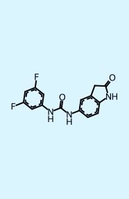 O=C1Cc2cc(NC(=O)Nc3cc(F)cc(F)c3)ccc2N1